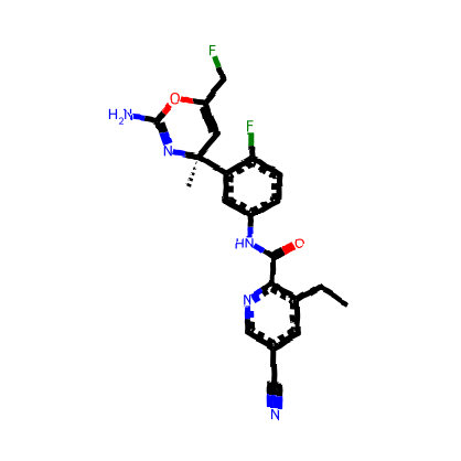 CCc1cc(C#N)cnc1C(=O)Nc1ccc(F)c([C@]2(C)C=C(CF)OC(N)=N2)c1